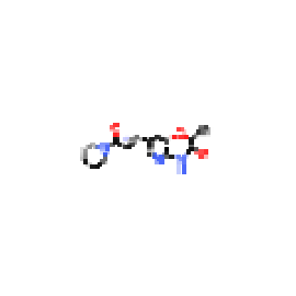 CC(C)C1Oc2cc(/C=C/C(=O)N3CC=CCC3)cnc2NC1=O